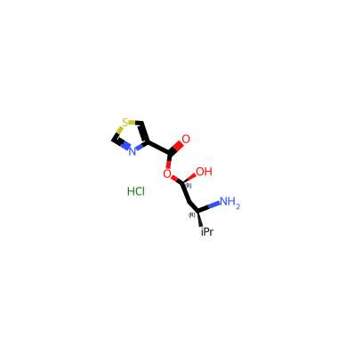 CC(C)[C@H](N)C[C@H](O)OC(=O)c1cscn1.Cl